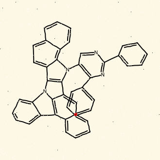 c1ccc(-c2ncc(-n3c4c5ccccc5ccc4c4c3c3cc5ccccc5c5c6ccccc6n4c35)c(-c3ccccc3)n2)cc1